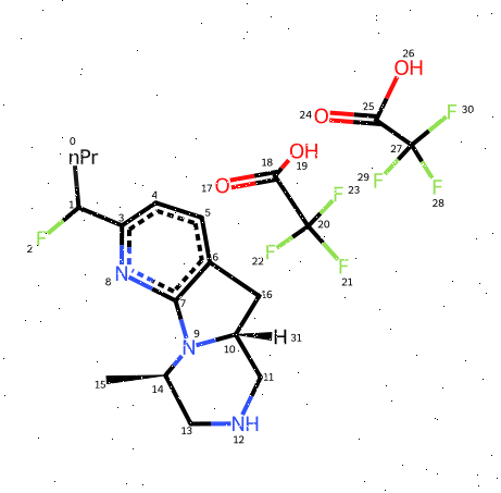 CCCC(F)c1ccc2c(n1)N1[C@@H](CNC[C@H]1C)C2.O=C(O)C(F)(F)F.O=C(O)C(F)(F)F